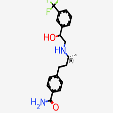 C[C@H](CCc1ccc(C(N)=O)cc1)NCC(O)c1cccc(C(F)(F)F)c1